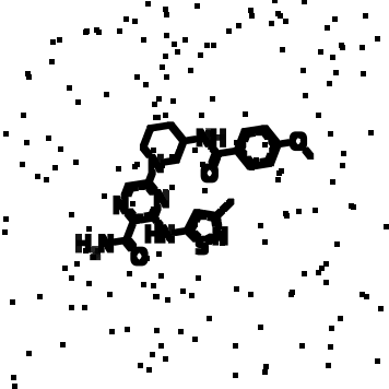 COc1ccc(C(=O)NC2CCCN(c3cnc(C(N)=O)c(Nc4cc(C)ns4)n3)C2)cc1